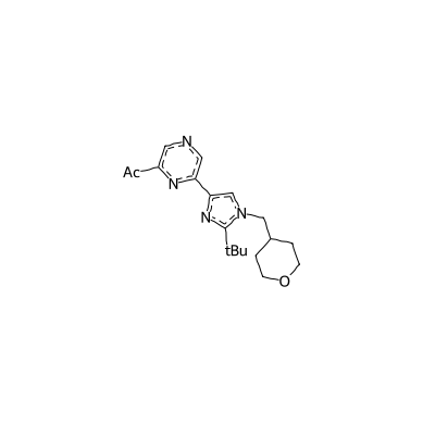 CC(=O)c1cncc(-c2cn(CC3CCOCC3)c(C(C)(C)C)n2)n1